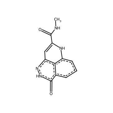 CNC(=O)C1=Cc2n[nH]c(=O)c3cccc(c23)N1